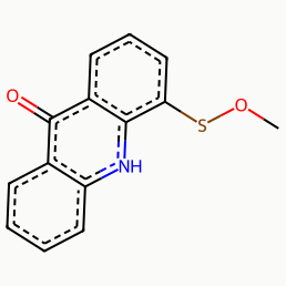 COSc1cccc2c(=O)c3ccccc3[nH]c12